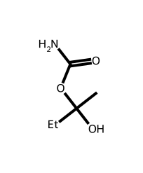 CCC(C)(O)OC(N)=O